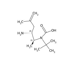 C=C(C)C[C@@H](N)[C@H](C)N(C(=O)O)C(C)(C)C